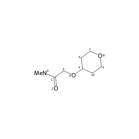 CNC(=O)COC1CCOCC1